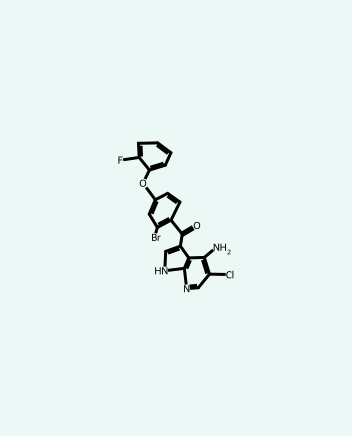 Nc1c(Cl)cnc2[nH]cc(C(=O)c3ccc(Oc4ccccc4F)cc3Br)c12